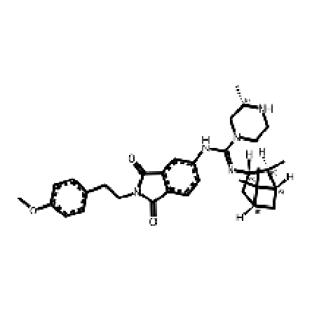 COc1ccc(CCN2C(=O)c3ccc(NC(=N[C@H]4C[C@H]5C[C@@H]([C@@H]4C)C5(C)C)N4CCN[C@@H](C)C4)cc3C2=O)cc1